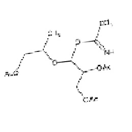 CC(=O)OCC(C)OC(OC(=N)C(Cl)(Cl)Cl)C(COC(C)=O)OC(C)=O